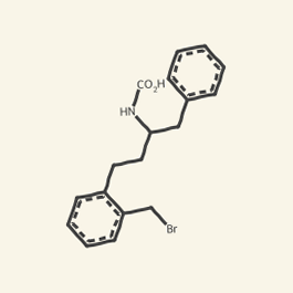 O=C(O)NC(CCc1ccccc1CBr)Cc1ccccc1